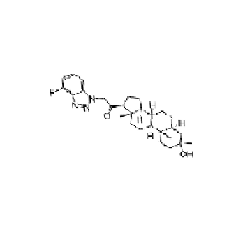 C[C@@]1(O)CC[C@@]2(C)[C@@H](CC[C@@H]3[C@@H]2CC[C@]2(C)[C@@H](C(=O)Cn4nnc5c(F)cccc54)CC[C@@H]32)C1